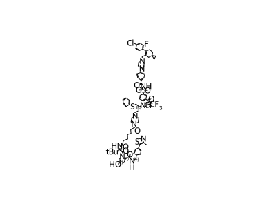 Cc1ncsc1-c1ccc([C@H](C)NC(=O)[C@@H]2C[C@@H](O)CN2C(=O)[C@@H](NC(=O)CCCCCC(=O)N2CCN(CC[C@H](CSc3ccccc3)Nc3ccc(S(=O)(=O)NC(=O)c4ccc(N5CCN(CC6=C(c7ccc(Cl)cc7F)CCC7(CC7)C6)CC5)cc4)cc3S(=O)(=O)C(F)(F)F)CC2)C(C)(C)C)cc1